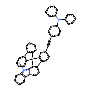 CCn1c2ccccc2c2ccc3c(c21)C1(c2ccccc2-c2ccccc21)c1cc(C#Cc2ccc(N(c4ccccc4)c4ccccc4)cc2)ccc1-3